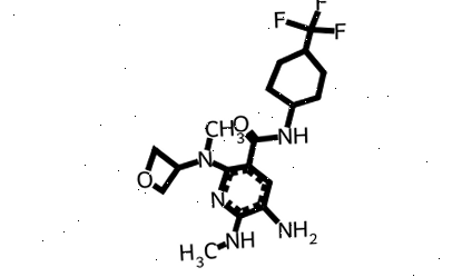 CNc1nc(N(C)C2COC2)c(C(=O)NC2CCC(C(F)(F)F)CC2)cc1N